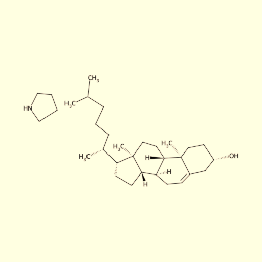 C1CCNC1.CC(C)CCC[C@@H](C)[C@H]1CC[C@H]2[C@@H]3CC=C4C[C@@H](O)CC[C@]4(C)[C@H]3CC[C@]12C